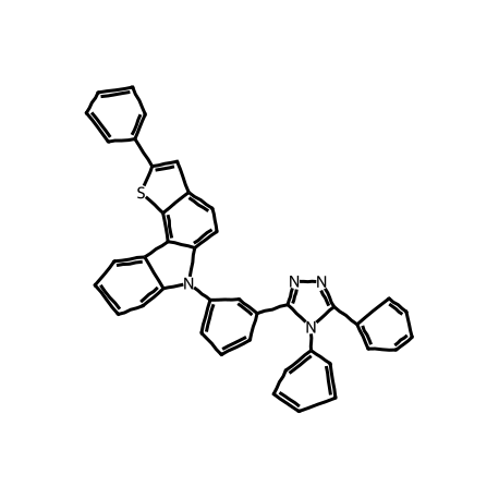 c1ccc(-c2cc3ccc4c(c5ccccc5n4-c4cccc(-c5nnc(-c6ccccc6)n5-c5ccccc5)c4)c3s2)cc1